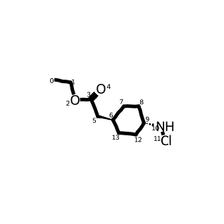 CCOC(=O)C[C@H]1CC[C@H](NCl)CC1